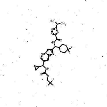 CC(C)n1nnc(C(=O)N[C@H](c2cn3ncc(C(NC(=O)CCC(F)(F)F)C4CC4)cc3n2)C2CCC(F)(F)CC2)n1